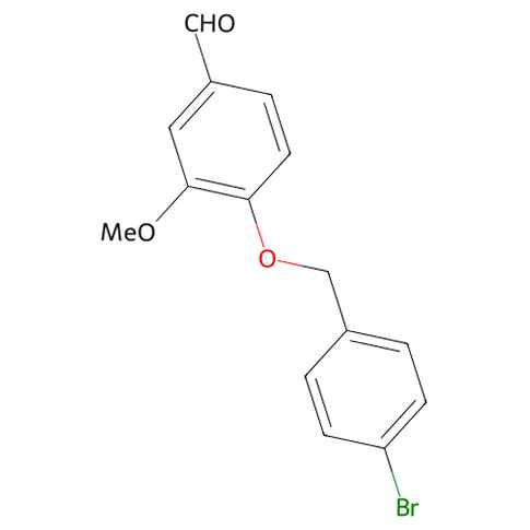 COc1cc(C=O)ccc1OCc1ccc(Br)cc1